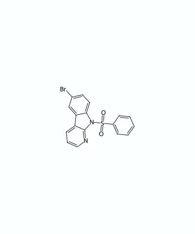 O=S(=O)(c1ccccc1)n1c2ccc(Br)cc2c2cccnc21